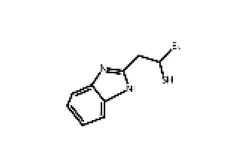 CCC(S)Cc1nc2ccccc2[nH]1